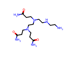 NCCNCCN(CCC(N)=O)CCN(CCC(N)=O)CCC(N)=O